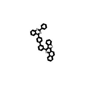 c1ccc(-c2nc(-c3ccc(-c4cccc(-c5nc6c7ccccc7ccc6c6sc7ccccc7c56)c4)cc3)c3ccccc3n2)cc1